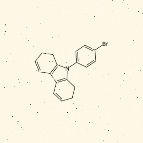 Brc1ccc(-n2c3c(c4c2CCC=C4)C=CCC3)cc1